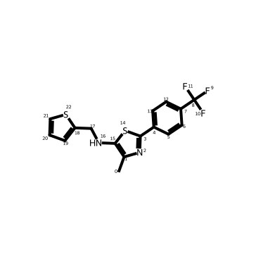 Cc1nc(-c2ccc(C(F)(F)F)cc2)sc1NCc1cccs1